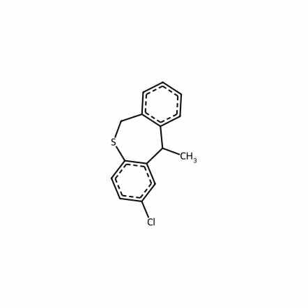 CC1c2ccccc2CSc2ccc(Cl)cc21